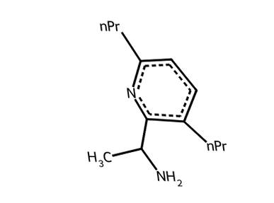 CCCc1ccc(CCC)c(C(C)N)n1